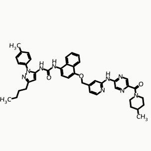 CCCCc1cc(NC(=O)Nc2ccc(OCc3ccnc(Nc4cnc(C(=O)N5CCC(C)CC5)cn4)c3)c3ccccc23)n(-c2ccc(C)cc2)n1